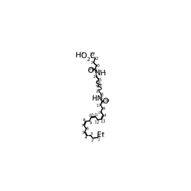 CC/C=C\C/C=C\C/C=C\C/C=C\C/C=C\CCCC(=O)NCCSSCCNC(=O)CCCC(=O)O